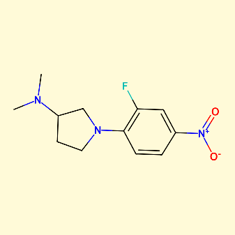 CN(C)C1CCN(c2ccc([N+](=O)[O-])cc2F)C1